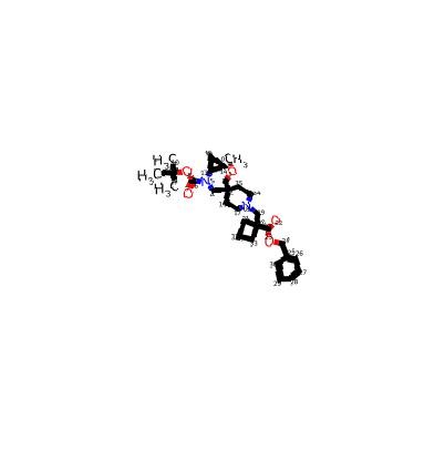 COCC1(CN(C(=O)OC(C)(C)C)C2CC2)CCN(CC2(C(=O)OCc3ccccc3)CCC2)CC1